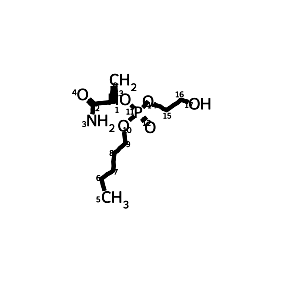 C=CC(N)=O.CCCCCOP(=O)(O)OCCO